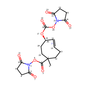 CC1(C(=O)ON2C(=O)CCC2=O)CC/C=C/[C@H](OC(=O)ON2C(=O)CCC2=O)CC1